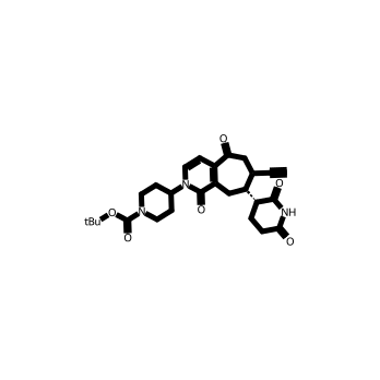 C#CC1CC(=O)c2ccn(C3CCN(C(=O)OC(C)(C)C)CC3)c(=O)c2CC1[C@H]1CCC(=O)NC1=O